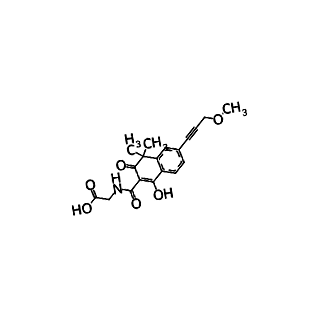 COCC#Cc1ccc2c(c1)C(C)(C)C(=O)C(C(=O)NCC(=O)O)=C2O